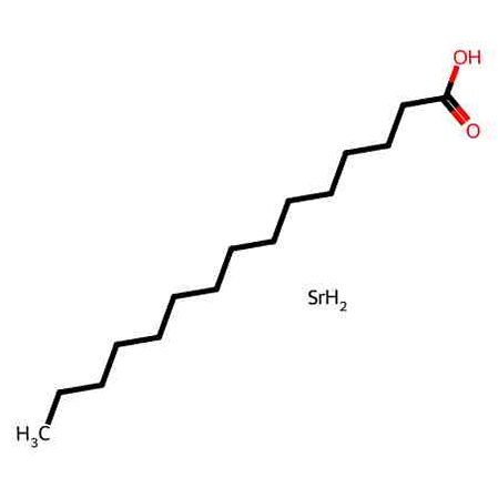 CCCCCCCCCCCCCCC(=O)O.[SrH2]